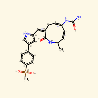 CC1/C=C\C(NC(N)=O)=C/C/C(=C/c2cc(-c3ccc(S(C)(=O)=O)cc3)c[nH]2)C(=O)N1